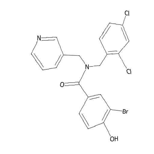 O=C(c1ccc(O)c(Br)c1)N(Cc1cccnc1)Cc1ccc(Cl)cc1Cl